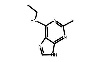 CCNc1nc(C)nc2[nH]cnc12